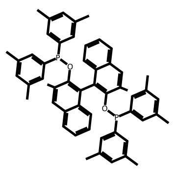 Cc1cc(C)cc(P(Oc2c(C)cc3ccccc3c2-c2c(OP(c3cc(C)cc(C)c3)c3cc(C)cc(C)c3)c(C)cc3ccccc23)c2cc(C)cc(C)c2)c1